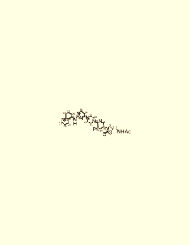 CC(=O)NC[C@H]1CN(c2cnc(N3CCN(c4ccnc(Nc5cccc6ncccc56)n4)CC3)c(F)c2)C(=O)O1